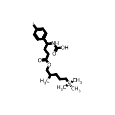 CC(CCC[Si](C)(C)C)COC(=O)CCC(NC(=O)O)c1ccc(I)cc1